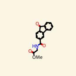 COC(=O)CNC(=O)c1ccc2c(c1)-c1ccccc1C2=O